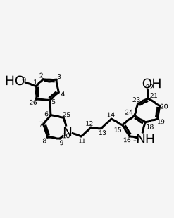 Oc1cccc(C2C=CCN(CCCCc3c[nH]c4ccc(O)cc34)C2)c1